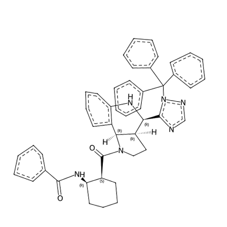 O=C(N[C@@H]1CCCC[C@@H]1C(=O)N1CC[C@@H]2[C@H](c3ncnn3C(c3ccccc3)(c3ccccc3)c3ccccc3)Nc3ccccc3[C@@H]21)c1ccccc1